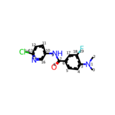 CN(C)c1ccc(C(=O)Nc2ccc(Cl)nc2)cc1F